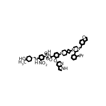 CC(C)c1ccccc1C1CN(Cc2ccc3occc3c2)CCN1C1CC2(CCN(c3ccc(C(=O)NS(=O)(=O)c4ccc(NC[C@H]5CC[C@](C)(O)CC5)c([N+](=O)[O-])c4)c(Oc4cnc5[nH]ccc5c4)c3)CC2)C1